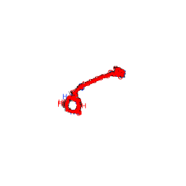 COC(=O)N[C@H]1C[C@@H]2CC[C@@H](C)[C@@](O)(O2)C(=O)C(=O)N2CCCC[C@H]2C(=O)O[C@H]([C@H](N)C[C@@H]2CC[C@@H](OCCCCc3cn(CCOCCOCCOCCOCCOCCOCCOCCOCCC(=O)N4CCN(c5ccc(-n6c(=O)n(C)c7cnc8ccc(-c9ccc(OC)nc9)cc8c76)cc5C(F)(F)F)CC4)nn3)[C@H](OC)C2)CC(=O)[C@H](C)/C=C(\C)[C@@H](O)[C@@H](O)C(=O)[C@H](C)C[C@H](C)/C=C/C=C/C=C/1C